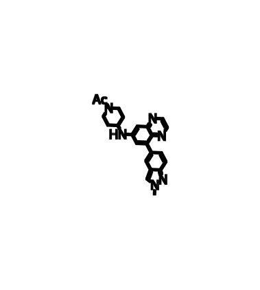 CC(=O)N1CCC(Nc2cc(-c3ccc4nn(C)cc4c3)c3nccnc3c2)CC1